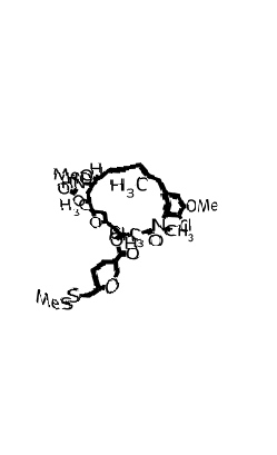 COc1cc2cc(c1Cl)N(C)C(=O)C[C@H](OC(=O)C1CCC(CSSC)OC1)[C@@]1(C)CC(C)(O1)C1C[C@@](O)(NC(=O)O1)[C@H](OC)/C=C/C=C(\C)C2